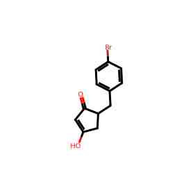 O=C1C=C(O)CC1Cc1ccc(Br)cc1